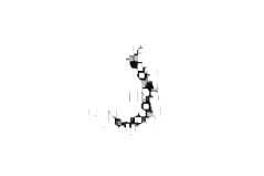 COCCn1ncc(-c2ccc(-c3cnc(C(=O)Nc4ccc(C(=O)N5CCN(C(=O)C[N+]6(C)CCC(N)C6)CC5)c(Cl)c4)n3C)c(Cl)c2F)c1C